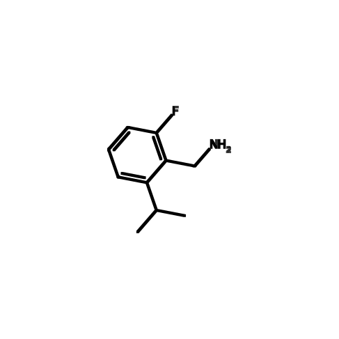 CC(C)c1cccc(F)c1CN